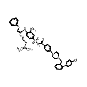 CN(C)CCOC[C@H](CSc1ccccc1)Nc1ccc(S(=O)(=O)NC(=O)c2ccc(N3CCN(Cc4ccccc4-c4ccc(Cl)cc4)CC3)cc2)cc1[N+](=O)[O-]